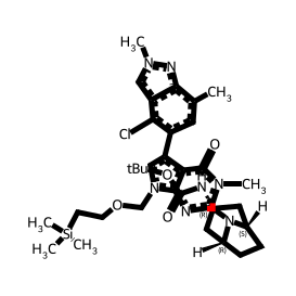 Cc1cc(-c2cn(COCC[Si](C)(C)C)c3nc(N4[C@@H]5CC[C@H]4C[C@@H](NC(=O)OC(C)(C)C)C5)n(C)c(=O)c23)c(Cl)c2cn(C)nc12